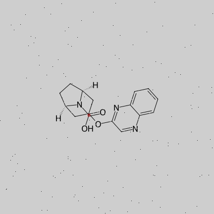 O=C(O)N1[C@@H]2CC[C@H]1CC(Oc1cnc3ccccc3n1)C2